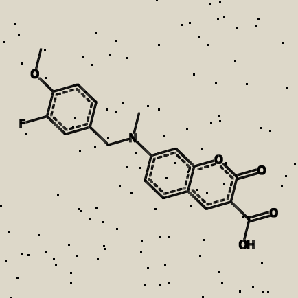 COc1ccc(CN(C)c2ccc3cc(C(=O)O)c(=O)oc3c2)cc1F